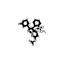 CS(=O)(=O)c1ccccc1-c1c(-c2cccc(F)c2)nn2nc(OC(F)F)ccc12